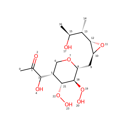 CC(=O)C(O)[C@@H]1CO[C@H](C[C@@H]2O[C@H]2[C@@H](C)[C@H](C)O)[C@@H](OO)[C@@H]1OO